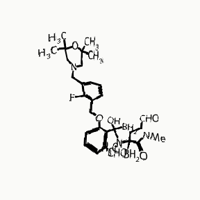 BC(CCC=O)(C(=O)NC)N(C)C(B)(O)c1c(C=O)cccc1OCc1cccc(CN2CC(C)(C)OC(C)(C)C2)c1F